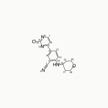 N#Cc1cc(-c2ccnc(Cl)n2)ccc1NC1CCOCC1